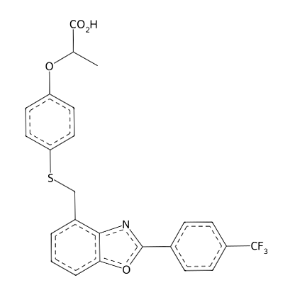 CC(Oc1ccc(SCc2cccc3oc(-c4ccc(C(F)(F)F)cc4)nc23)cc1)C(=O)O